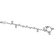 O=C(O)CCCCCNCCNCCOCCOCCOCCOCCOCCNCCCCC(=O)ON1CCNCCNCCNCC1